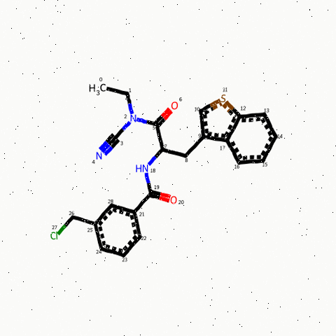 CCN(C#N)C(=O)C(Cc1csc2ccccc12)NC(=O)c1cccc(CCl)c1